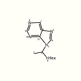 CCCCCCC(C)n1cnc2cncnc21